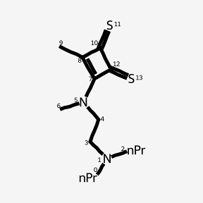 CCCN(CCC)CCN(C)c1c(C)c(=S)c1=S